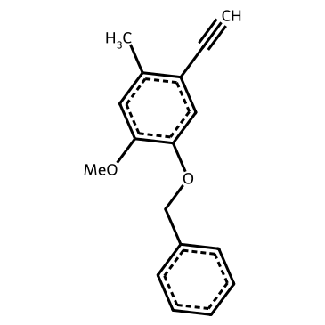 C#Cc1cc(OCc2ccccc2)c(OC)cc1C